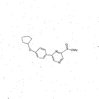 COC(=O)c1cncc(-c2ccc(OC3CCCC3)cc2)n1